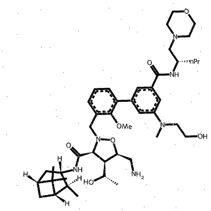 CCC[C@@H](CN1CCOCC1)NC(=O)c1cc(-c2cccc(CN3O[C@@H](CN)[C@@H]([C@H](C)O)[C@H]3C(=O)N[C@H]3C[C@H]4C[C@@H]([C@@H]3C)C4(C)C)c2OC)cc(N(C)CCO)c1